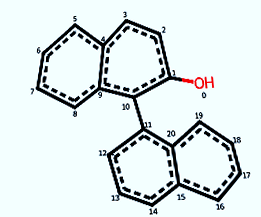 Oc1ccc2ccccc2c1-c1[c]ccc2ccccc12